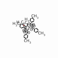 C=C/C=C\C(=C/C)C(CN(S(=O)(=O)c1ccc(C)cc1)S(=O)(=O)c1ccc(C)cc1)N(S(=O)(=O)c1ccc(C)cc1)S(=O)(=O)c1ccc(C)cc1